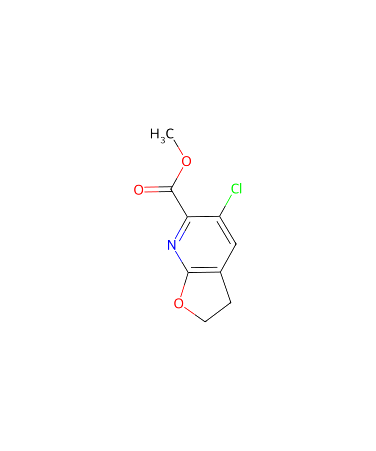 COC(=O)c1nc2c(cc1Cl)CCO2